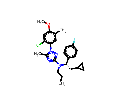 CCCN(c1nc(C)n(-c2cc(C)c(OC)cc2Cl)n1)[C@@H](CC1CC1)c1ccc(F)cc1